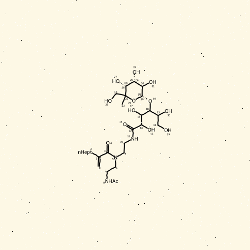 C=C(CCCCCCC)C(=O)N(CCNC(C)=O)CCNC(=O)C(O)C(O)C(O[C@@H]1OC(C)(CO)[C@H](O)[C@H](O)C1O)C(O)CO